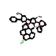 CC(C)(C)c1cc2c(cc1-c1ccccc1)Cc1c-2cc(C(C)(C)C)c(-c2ccccc2)[c]1[Zr+2](=[C](c1cccc2ccccc12)c1cccc2ccccc12)[CH]1C=CC=C1.[Cl-].[Cl-]